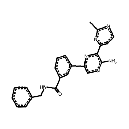 Cc1nccc(-c2nc(-c3cccc(C(=O)NCc4ccccc4)c3)cnc2N)n1